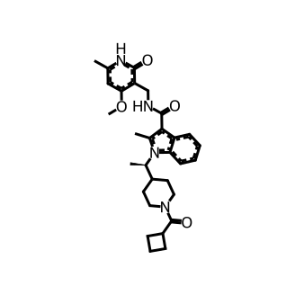 COc1cc(C)[nH]c(=O)c1CNC(=O)c1c(C)n([C@H](C)C2CCN(C(=O)C3CCC3)CC2)c2ccccc12